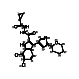 O=C(NNC(=O)C1CC1)c1[nH]c2c(Cl)c(Cl)ccc2c1-c1cnn(C2CCCCO2)c1